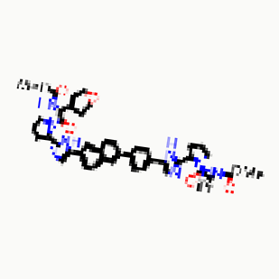 COC(=O)N[C@H](C(=O)N1CCCC1c1ncc(-c2ccc(-c3ccc4cc(-c5cnc(C6CCCN6C(=O)[C@@H](NC(=O)OC)C6CCOCC6)[nH]5)ccc4c3)cc2)[nH]1)C(C)C